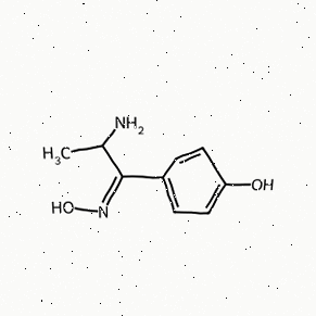 CC(N)C(=NO)c1ccc(O)cc1